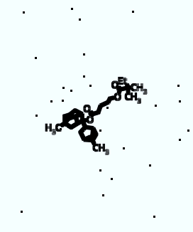 CCC(C)(C)C(=O)OCCCCC(=O)OC1(C2CC3CC2CC3C)C2CC3CC1CC(C)(C3)C2